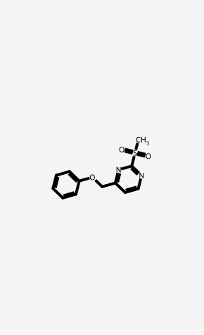 CS(=O)(=O)c1nccc(COc2ccccc2)n1